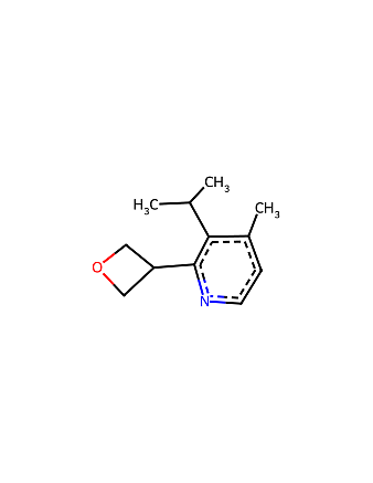 Cc1ccnc(C2COC2)c1C(C)C